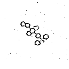 FS(c1ccccc1)(c1ccccc1)c1ccc(-c2c3c(c(-c4ccc5ccccc5c4)c4ccccc24)C=CCC3)cc1